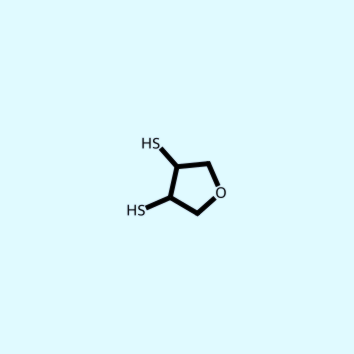 SC1COCC1S